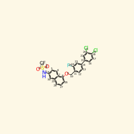 O=S(=O)(Nc1ccc2c(OCc3ccc(-c4ccc(Cl)c(Cl)c4)cc3F)cccc2c1)C(F)(F)F